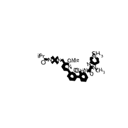 COc1nc(-c2cccc(-c3cccc(NC(=O)c4nc5c(n4C)CCN(C)C5)c3Cl)c2Cl)ccc1CN1CC2(C1)CN(C(=O)C(C)C)C2